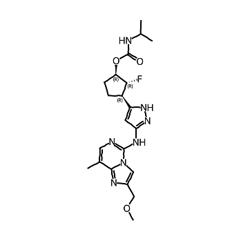 COCc1cn2c(Nc3cc([C@H]4CC[C@@H](OC(=O)NC(C)C)[C@@H]4F)[nH]n3)ncc(C)c2n1